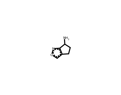 NC1CCc2conc21